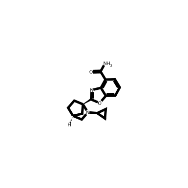 NC(=O)c1cccc2oc([C@@]34CC[C@H](CN3C3CC3)C4)nc12